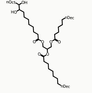 CCCCCCCCCCCCCCCCCC(=O)OC(COC(=O)CCCCCCCCCCCCCCC)COC(=O)CCCCCCCC(O)C(O)CCCCCCCC